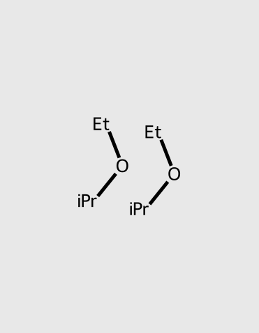 CCOC(C)C.CCOC(C)C